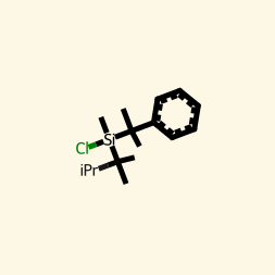 CC(C)C(C)(C)[Si](C)(Cl)C(C)(C)c1ccccc1